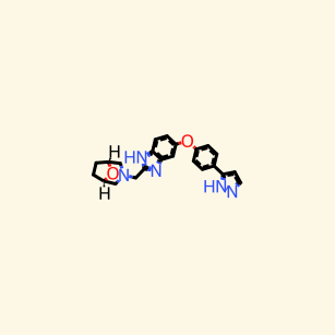 c1cc(-c2ccc(Oc3ccc4[nH]c(CN5C[C@H]6CC[C@@H](C5)O6)nc4c3)cc2)[nH]n1